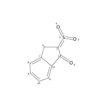 O=C1C(=S(=O)=O)Cc2ccccc21